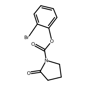 O=C1CCCN1C(=O)Oc1ccccc1Br